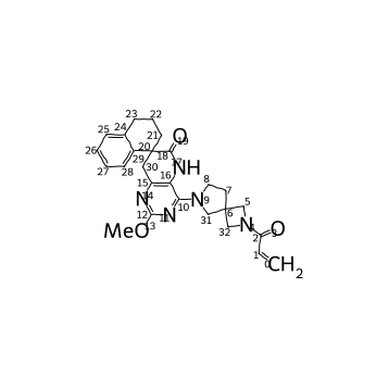 C=CC(=O)N1CC2(CCN(c3nc(OC)nc4c3NC(=O)C3(CCCc5ccccc53)C4)C2)C1